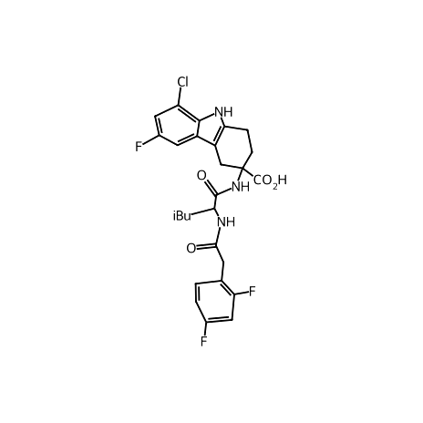 CCC(C)C(NC(=O)Cc1ccc(F)cc1F)C(=O)NC1(C(=O)O)CCc2[nH]c3c(Cl)cc(F)cc3c2C1